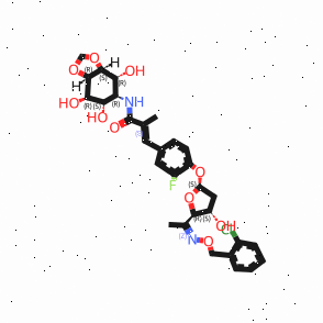 C/C(=N/OCc1ccccc1Cl)[C@H]1O[C@@H](Oc2ccc(/C=C(\C)C(=O)N[C@@H]3[C@H](O)[C@@H](O)[C@H]4OCO[C@H]4[C@@H]3O)cc2F)C[C@@H]1O